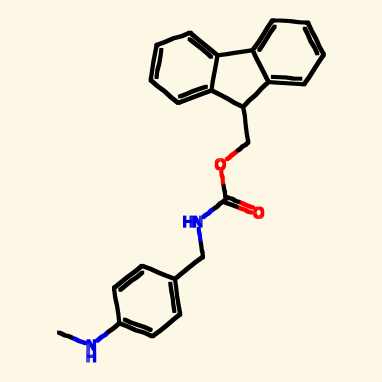 CNc1ccc(CNC(=O)OCC2c3ccccc3-c3ccccc32)cc1